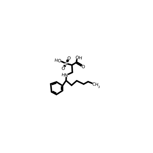 CCCCCC(NCC(C(=O)O)S(=O)(=O)O)c1ccccc1